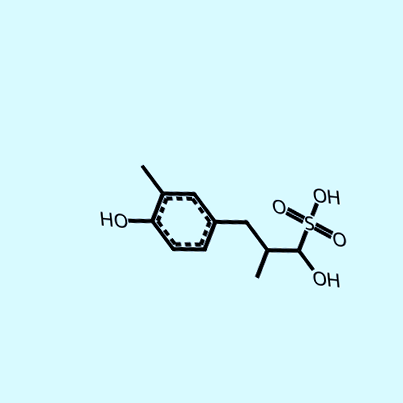 Cc1cc(CC(C)C(O)S(=O)(=O)O)ccc1O